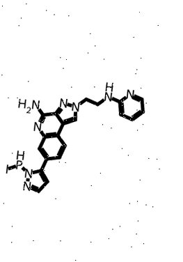 Nc1nc2cc(-c3ccnn3PI)ccc2c2cn(CCNc3ccccn3)nc12